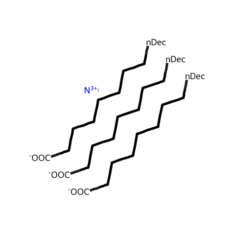 CCCCCCCCCCCCCCCCCC(=O)[O-].CCCCCCCCCCCCCCCCCC(=O)[O-].CCCCCCCCCCCCCCCCCC(=O)[O-].[N+3]